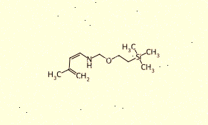 C=C(C)/C=C\NCOCC[Si](C)(C)C